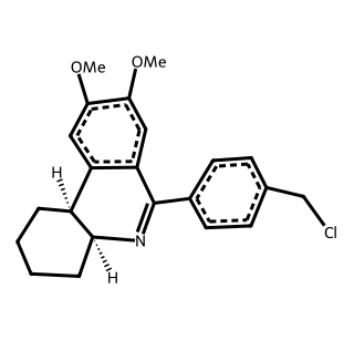 COc1cc2c(cc1OC)[C@@H]1CCCC[C@@H]1N=C2c1ccc(CCl)cc1